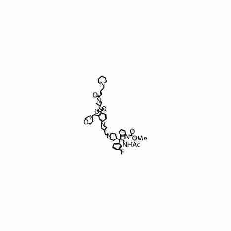 COC(=O)N[C@H]1CCC[C@@H]1[C@](CNC(C)=O)(c1cccc(F)c1)C1CCN(CC2CN(c3ccc(S(=O)(=O)C4CN(C(=O)/C=C/CN5CCCCC5)C4)c(CN4CCOCC4)c3)C2)CC1